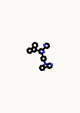 C1=Cc2c(-c3cc(-c4ccc(-n5c6ccccc6c6ccncc65)cc4)nc(-c4ccccn4)c3)cc3ccccc3c2CC1